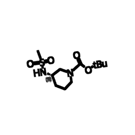 CC(C)(C)OC(=O)N1CCC[C@H](NS(C)(=O)=O)C1